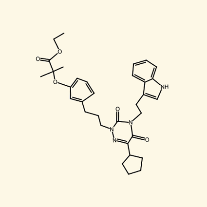 CCOC(=O)C(C)(C)Oc1cccc(CCCn2nc(C3CCCC3)c(=O)n(CCc3c[nH]c4ccccc34)c2=O)c1